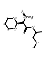 CSCC(C)OC(=O)/C(=C1\NCCCS1)[N+](=O)[O-]